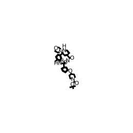 Cc1ccc(C2(N3CCOCC3)C=C(C(N)=O)C=CN2)cc1NC(=O)c1cccc(OC2CCN(C(=O)OC(C)(C)C)CC2)c1